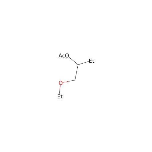 CCOCC(CC)OC(C)=O